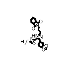 CC1CSC(c2[nH]c(CCCN3C(=O)c4ccccc4C3=O)nc2-c2ccc3c(c2)OCO3)=N1